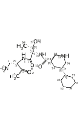 CC(=O)[C@H](CN)NC(=O)[C@@H](NC(=O)[C@@H]1CNC[C@H](C2CCCCC2)C1)[C@H](C)O